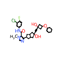 Cn1cnc(C2CC3CC(O)(C#CC4(O)CC(Oc5ccccc5)C4)CC3C2)c1C(=O)Nc1ccc(F)c(Cl)c1